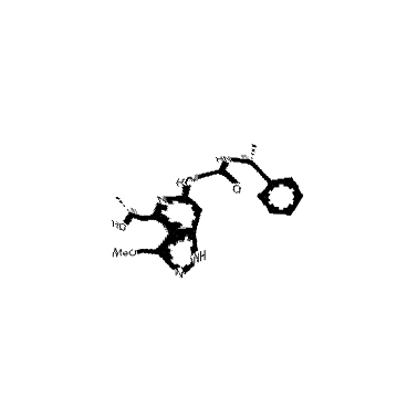 COc1n[nH]c2cc(NC(=O)N[C@H](C)c3ccccc3)nc([C@@H](C)O)c12